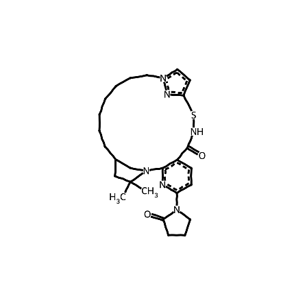 CC1(C)CC2CCCCCCCn3ccc(n3)SNC(=O)c3ccc(N4CCCC4=O)nc3N1C2